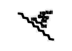 CCCCCCCCCCCCCC.O=S(=O)(O)O.OCCO.[NaH]